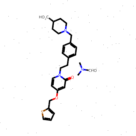 CN(C)C=O.O=C(O)C1CCN(Cc2ccc(CCn3ccc(OCc4cccs4)cc3=O)cc2)CC1